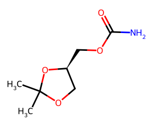 CC1(C)OC[C@H](COC(N)=O)O1